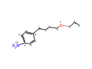 CCCOCCCCc1ccc(N)cc1